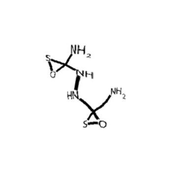 NC1(NNC2(N)OS2)OS1